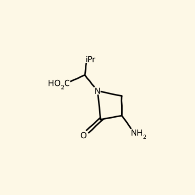 CC(C)C(C(=O)O)N1CC(N)C1=O